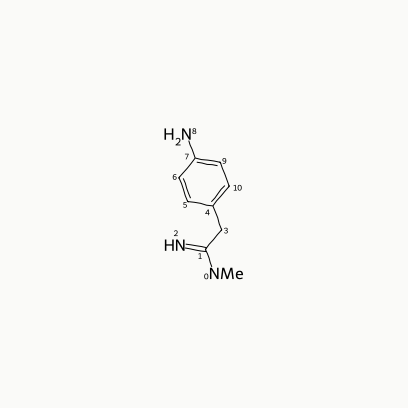 CNC(=N)Cc1ccc(N)cc1